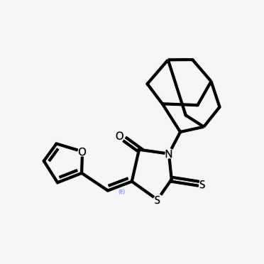 O=C1/C(=C\c2ccco2)SC(=S)N1C1C2CC3CC(C2)CC1C3